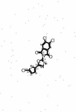 O=C1c2cc(Cl)c(Cl)cc2C(=O)N1c1nnc(-c2ccc(Cl)s2)o1